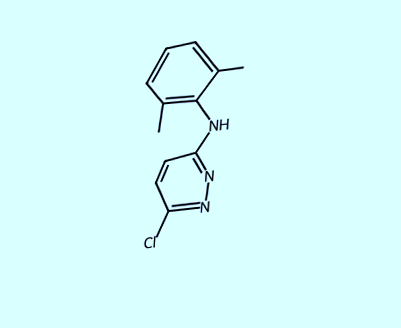 Cc1cccc(C)c1Nc1ccc(Cl)nn1